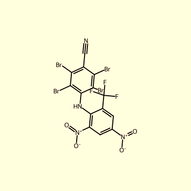 N#Cc1c(Br)c(Br)c(Nc2c([N+](=O)[O-])cc([N+](=O)[O-])cc2C(F)(F)F)c(Br)c1Br